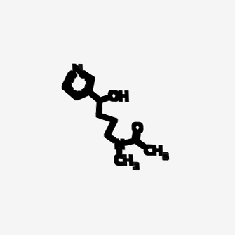 CC(=O)N(C)CCCC(O)c1cccnc1